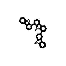 Cn1c2ccccc2c2cc(-c3cccc4c5cccc(-c6cccc7c6oc6ccccc67)c5n(C)c34)ccc21